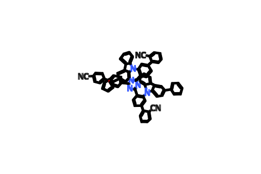 N#Cc1ccc(-c2ccc(-c3nc(-c4ccc(-c5ccccc5C#N)cc4-n4c5ccccc5c5cc(-c6ccccc6)ccc54)nc(-c4ccc(-c5ccccc5C#N)cc4-n4c5ccccc5c5cc(-c6ccccc6)ccc54)n3)cc2)cc1